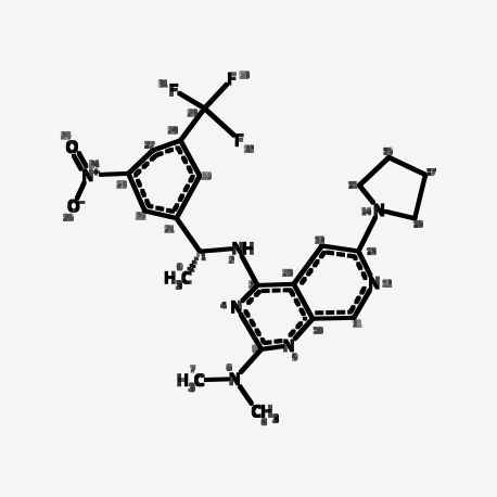 C[C@@H](Nc1nc(N(C)C)nc2cnc(N3CCCC3)cc12)c1cc([N+](=O)[O-])cc(C(F)(F)F)c1